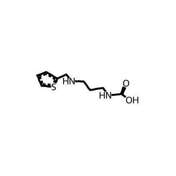 O=C(O)NCCCNCc1cccs1